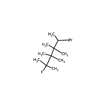 CC(C)C(C)C(C)(C)C(C)(C)C(C)(C)F